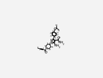 CC#CC(=O)N1CCC(n2nc(-c3ccc(OC(C)C)cc3)c(C(N)=O)c2N)CC1